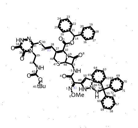 CO/N=C(/C(=O)NC1C(=O)N2C(C(=O)OC(c3ccccc3)c3ccccc3)=C(/C=C/Sc3n[nH]c(=O)c(=O)n3CCNC(=O)OC(C)(C)C)CSC12)C1=CSN(NC(c2ccccc2)(c2ccccc2)c2ccccc2)N1